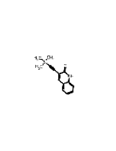 C[Si](C)(C)C#Cc1cc2ccccc2[nH]c1=O